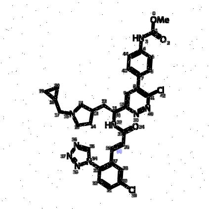 COC(=O)Nc1ccc(-c2cc([C@H](CC3CCN(CC4CC4)C3)NC(=O)/C=C/c3cc(Cl)ccc3-n3cnnn3)nnc2Cl)cc1